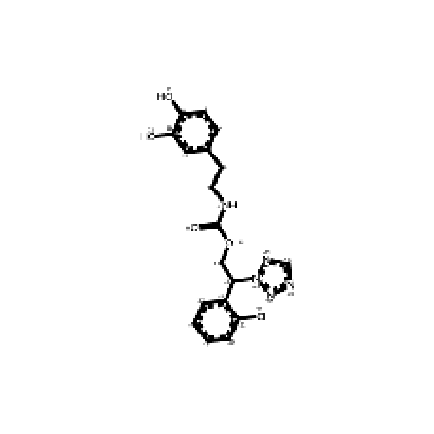 O=C(NCCc1ccc(O)c(O)c1)OCC(c1ccccc1Cl)n1ncnn1